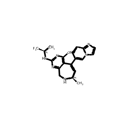 COc1nc(N[C@H](C)C(F)(F)F)nc2c1C(c1ccc3nccn3c1)=C[C@@H](C)NC2